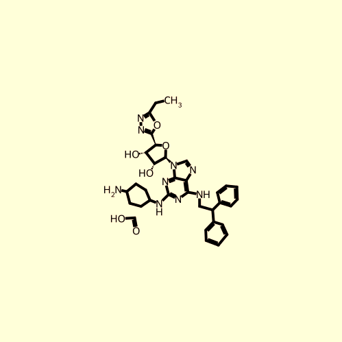 CCc1nnc([C@H]2O[C@@H](n3cnc4c(NCC(c5ccccc5)c5ccccc5)nc(NC5CCC(N)CC5)nc43)[C@H](O)[C@@H]2O)o1.O=CO